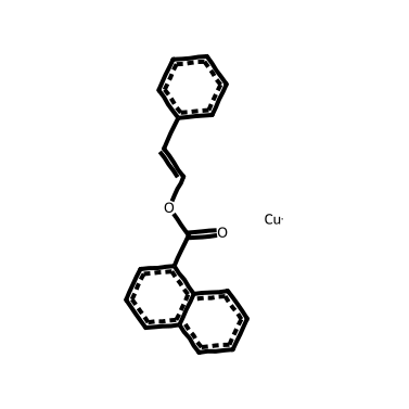 O=C(OC=Cc1ccccc1)c1cccc2ccccc12.[Cu]